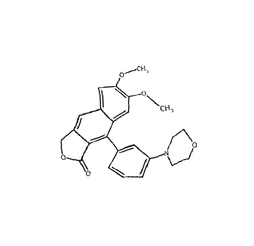 COc1cc2cc3c(c(-c4cccc(N5CCOCC5)c4)c2cc1OC)C(=O)OC3